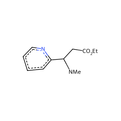 CCOC(=O)CC(NC)c1ccccn1